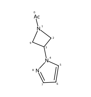 CC(=O)N1CC(n2cccn2)C1